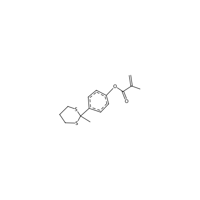 C=C(C)C(=O)Oc1ccc(C2(C)SCCCS2)cc1